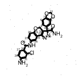 NC(=O)C1(c2ccc3c(c2)OCO3)N=NC2=C1COc1ccc(NC(=O)c3ccc(N)cc3Cl)cc12